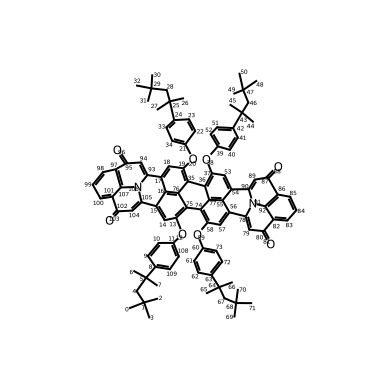 CC(C)(C)CC(C)(C)c1ccc(Oc2cc3c4c(cc(Oc5ccc(C(C)(C)CC(C)(C)C)cc5)c5c6c(Oc7ccc(C(C)(C)CC(C)(C)C)cc7)cc7c8c(cc(Oc9ccc(C(C)(C)CC(C)(C)C)cc9)c(c2c54)c68)c2cc(=O)c4cccc5c(=O)cc7n2c45)c2cc(=O)c4cccc5c(=O)cc3n2c54)cc1